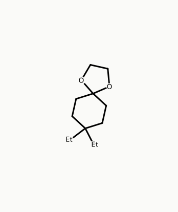 CCC1(CC)CCC2(CC1)OCCO2